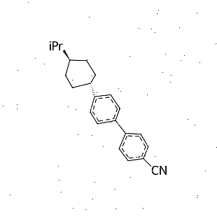 CC(C)[C@H]1CC[C@H](c2ccc(-c3ccc(C#N)cc3)cc2)CC1